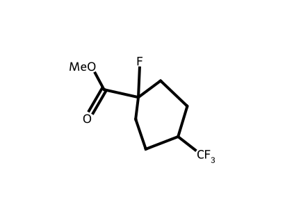 COC(=O)C1(F)CCC(C(F)(F)F)CC1